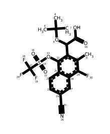 Cc1c(C(OC(C)(C)C)C(=O)O)c(OS(=O)(=O)C(F)(F)F)c2ccc(C#N)cc2c1F